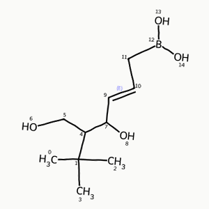 CC(C)(C)C(CO)C(O)/C=C/CB(O)O